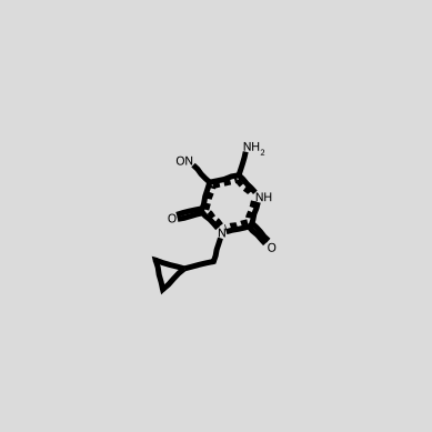 Nc1[nH]c(=O)n(CC2CC2)c(=O)c1N=O